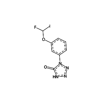 O=c1[nH]nnn1-c1cccc(OC(F)I)c1